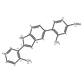 COc1cc(C)c(-c2cnc3[nH]c(-c4cnccc4C)cc3c2)cn1